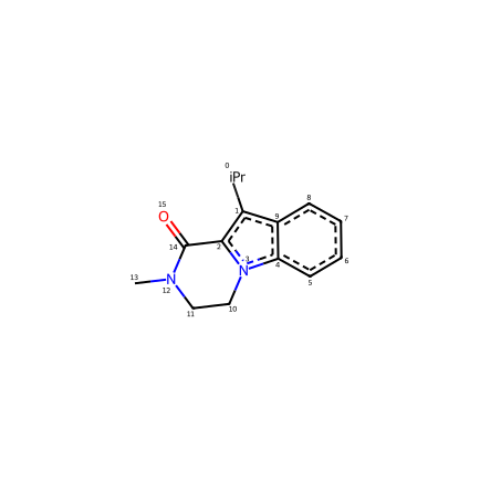 CC(C)c1c2n(c3ccccc13)CCN(C)C2=O